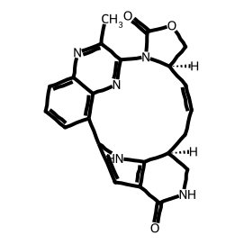 Cc1nc2cccc3c2nc1N1C(=O)OC[C@H]1/C=C\C[C@H]1CNC(=O)c2cc-3[nH]c21